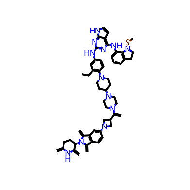 C=C1CCC(n2c(=C)c3ccc(N4CC(C(=C)N5CCN(C6CCN(c7ccc(Nc8nc(Nc9cccc%10c9N(SC)CC%10)c9cc[nH]c9n8)cc7CC)CC6)CC5)C4)cc3c2=C)C(=C)N1